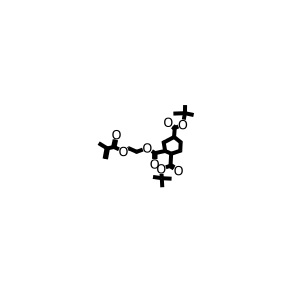 C=C(C)C(=O)OCCOC(=O)C1CC(C(=O)OC(C)(C)C)CCC1C(=O)OC(C)(C)C